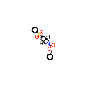 O=C(OCc1ccccc1)N1C[C@H]2C[C@@H](S(=O)(=O)c3ccccc3)C[C@H]2C1